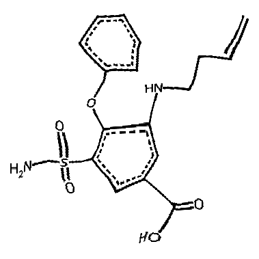 C=CCCNc1cc(C(=O)O)cc(S(N)(=O)=O)c1Oc1ccccc1